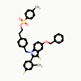 Cc1ccc(S(=O)(=O)OCCc2ccc(Cn3c(-c4ccc(F)cc4C)c(F)c4cc(OCc5ccccc5)ccc43)cc2)cc1